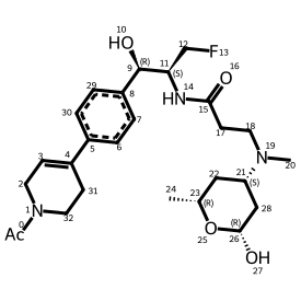 CC(=O)N1CC=C(c2ccc([C@@H](O)[C@@H](CF)NC(=O)CCN(C)[C@H]3C[C@@H](C)O[C@@H](O)C3)cc2)CC1